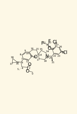 COC(=O)[C@H](C)[C@H](c1ccc2c(c1)OC1(CC2)CCN([C@H](C)c2cc(Cl)cc(Cl)c2OC(F)F)CC1)C1CC1